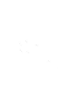 CN(c1ccccc1)c1ccccc1CNc1nnnn1-c1cccc(Cl)c1Cl